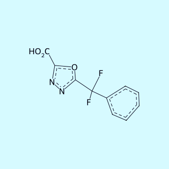 O=C(O)c1nnc(C(F)(F)c2ccccc2)o1